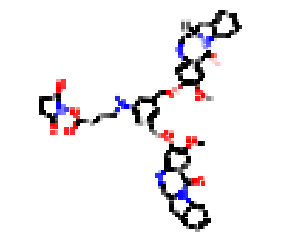 COC1=C(OCc2cc(COc3cc4c(cc3OC)C(=O)N3c5ccccc5C[C@H]3C=N4)cc(N(C)CCCC(=O)ON3C(=O)CCC3=O)c2)C=C2N=CC3Cc4ccccc4N3C(=O)C2C1